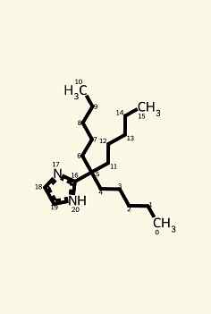 CCCCCC(CCCCC)(CCCCC)c1ncc[nH]1